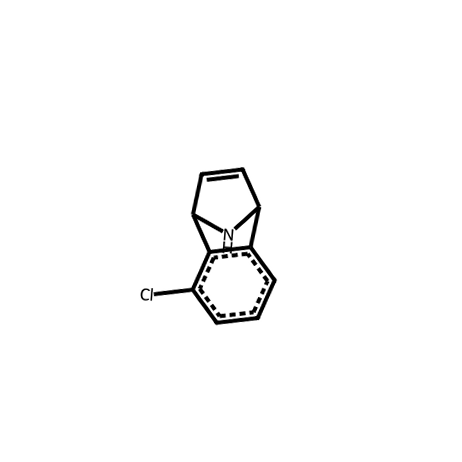 Clc1cccc2c1C1C=CC2N1